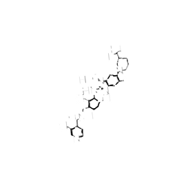 Cn1c(Nc2c(Cl)ccc(CNC(=O)c3ccncc3Cl)c2Cl)nc2cc(Cl)c(N3CCCC(C(F)(F)F)C3)cc21